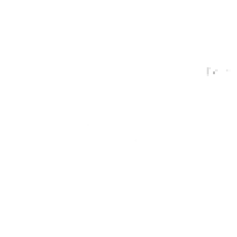 CCCC(C)CCC(NC(=O)C1=CC=P(C)(C)C=C1)C(=O)O